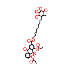 CCC(=O)Oc1cccc2c1C(=O)c1c(OC(=O)CC)cc(C(=O)OCCCCCCCCCCC3=C(C)C(=O)C(OC)=C(OC)C3=O)cc1C2=O